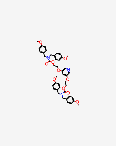 COc1ccc(CN(Cc2ccc(OC)cc2)C(=O)OCCOc2cncc(OCCOC(=O)N(Cc3ccc(OC)cc3)Cc3ccc(OC)cc3)c2)cc1